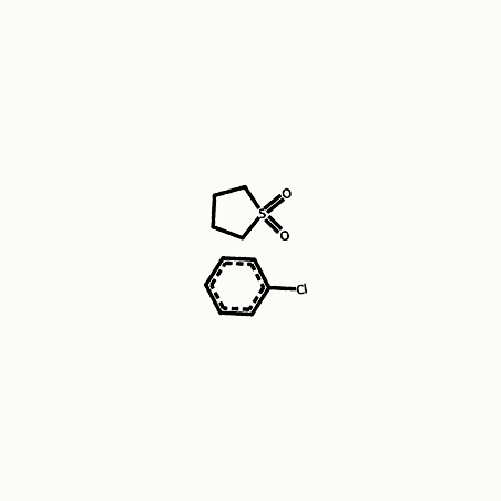 Clc1ccccc1.O=S1(=O)CCCC1